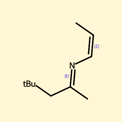 C/C=C\N=C(/C)CC(C)(C)C